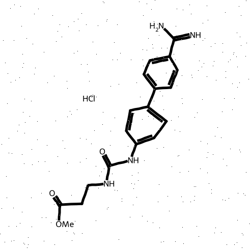 COC(=O)CCNC(=O)Nc1ccc(-c2ccc(C(=N)N)cc2)cc1.Cl